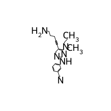 CCCN(C)c1nc(Nc2cccc(C#N)c2)ncc1C#CCCCN